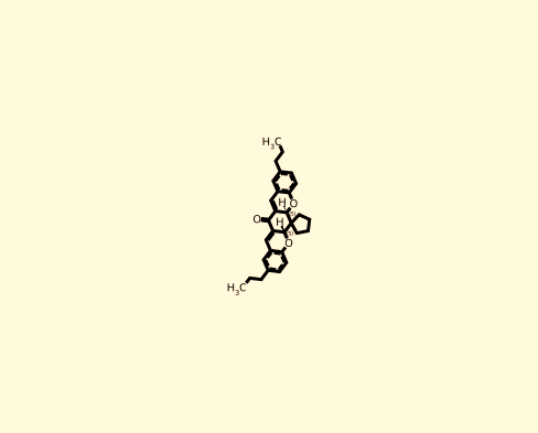 CCCc1ccc2c(c1)C=C1C(=O)C3=Cc4cc(CCC)ccc4O[C@H]3C3(CCCC3)[C@@H]1O2